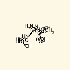 C#CCCC1(CC(=O)NCC#Cc2nc(N)c3ncn([C@H]4O[C@@H](COP(=O)(O)O)C5OC(C)(C)OC54)c3n2)NN1